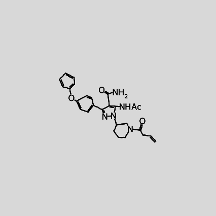 C=CCC(=O)N1CCCC(n2nc(-c3ccc(Oc4ccccc4)cc3)c(C(N)=O)c2NC(C)=O)C1